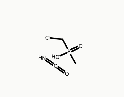 CP(=O)(O)CCl.N=C=O